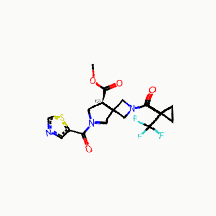 COC(=O)[C@@H]1CN(C(=O)c2cncs2)CC12CN(C(=O)C1(C(F)(F)F)CC1)C2